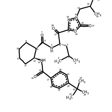 CC(C)C[C@H](NC(=O)[C@@H]1CCCC[C@@H]1NC(=O)c1ccc(C(C)(C)C)cc1)C(=O)c1nn(CC(C)C)c(=O)o1